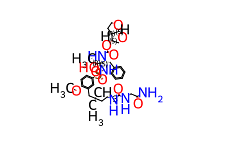 COc1ccc(S(=O)(=O)N[C@](Cc2ccccc2)(NC(=O)O[C@@H]2CO[C@@H]3OCC[C@@H]32)[C@@H](C)O)cc1CC(C)(C)CCNC(=O)NCC(N)=O